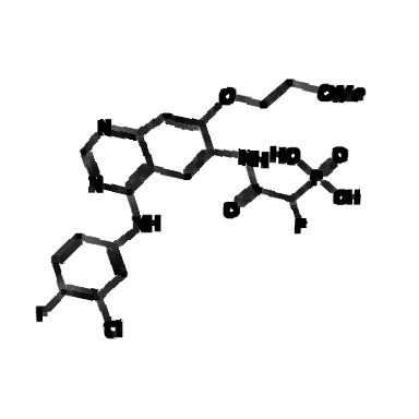 COCCOc1cc2ncnc(Nc3ccc(F)c(Cl)c3)c2cc1NC(=O)C(F)P(=O)(O)O